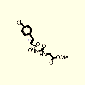 COC(=O)CNC(=O)NS(=O)(=O)/C=C/c1ccc(Cl)cc1